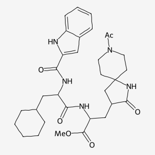 COC(=O)C(CC1CC2(CCN(C(C)=O)CC2)NC1=O)NC(=O)C(CC1CCCCC1)NC(=O)c1cc2ccccc2[nH]1